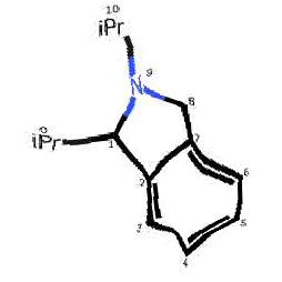 CC(C)C1c2ccccc2CN1C(C)C